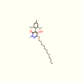 CCCCCCCCCCCCSc1nn(C)c(=O)c(-c2c(CC)cc(C)cc2CC)c1O